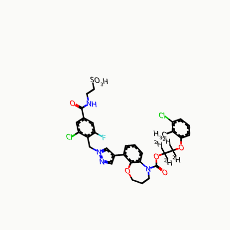 [2H]C([2H])(OC(=O)N1CCCOc2c(-c3cnn(Cc4c(F)cc(C(=O)NCCS(=O)(=O)O)cc4Cl)c3)cccc21)C([2H])([2H])Oc1cccc(Cl)c1C